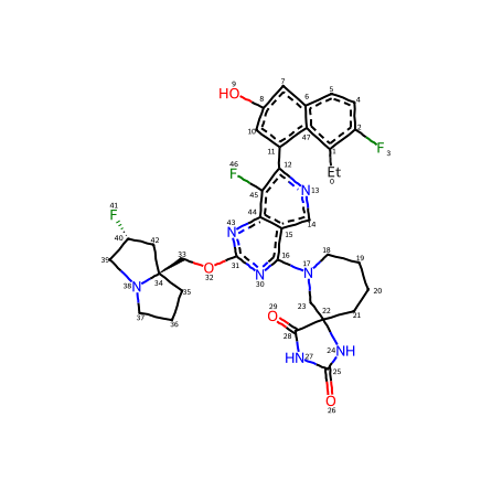 CCc1c(F)ccc2cc(O)cc(-c3ncc4c(N5CCCCC6(C5)NC(=O)NC6=O)nc(OC[C@@]56CCCN5C[C@H](F)C6)nc4c3F)c12